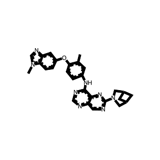 Cc1cc(Nc2ncnc3cnc(N4CC5CC(C5)C4)nc23)ccc1Oc1ccc2c(c1)ncn2C